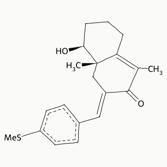 CSc1ccc(C=C2C[C@@]3(C)C(=C(C)C2=O)CCC[C@@H]3O)cc1